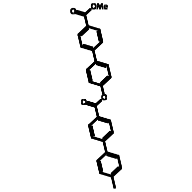 COC(=O)c1ccc(-c2ccc(OC(=O)c3ccc(-c4ccc(C)cc4)cc3)cc2)cc1